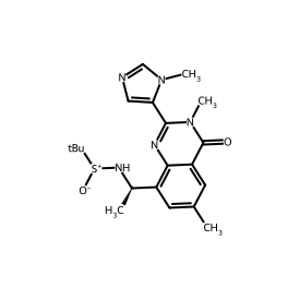 Cc1cc([C@@H](C)N[S+]([O-])C(C)(C)C)c2nc(-c3cncn3C)n(C)c(=O)c2c1